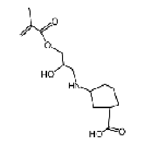 C=C(C)C(=O)OCC(O)CNC1CCCC(C(=O)O)C1